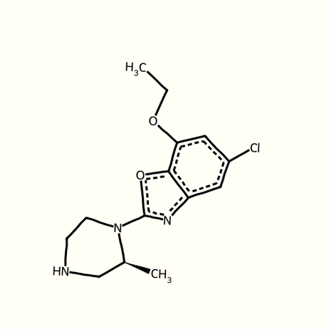 CCOc1cc(Cl)cc2nc(N3CCNC[C@@H]3C)oc12